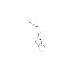 CCC(C)(C)C(=O)OC(C)C1CC2CC1C1C3CCC(C3)C21